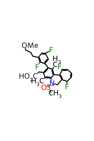 COCCCc1cc(F)cc(-c2c(C)c3c(c(C)c2CC(=O)O)N([S+](C)[O-])CC2=C3C(F)=CC=CC2F)c1F